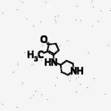 CC1=C(NC2CCNCC2)CCC1=O